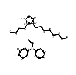 C=CB(c1ccccc1)c1ccccc1.CCCCCCCCn1ccnc1CCCC